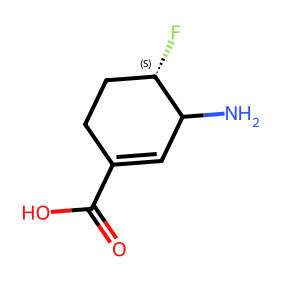 NC1C=C(C(=O)O)CC[C@@H]1F